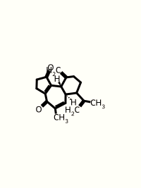 C=C(C)C1CCC(=C)[C@H]2C3=C(CCC3=O)C(=O)C(C)=C[C@H]12